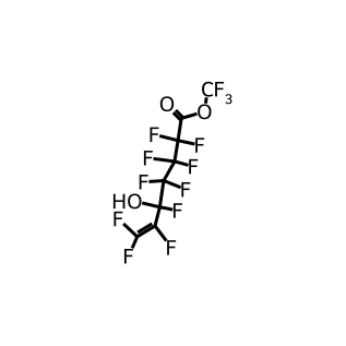 O=C(OC(F)(F)F)C(F)(F)C(F)(F)C(F)(F)C(O)(F)C(F)=C(F)F